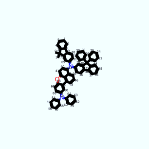 CC1(C)c2ccccc2-c2ccc(N(c3ccc4c(c3)C(c3ccccc3)(c3ccccc3)c3ccccc3-4)c3ccc4c5c(cccc35)-c3cc(N(c5ccccc5)c5ccccc5)ccc3O4)cc21